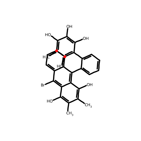 Cc1c(O)c(O)c(O)c(-c2ccccc2-c2c3ccccc3c(Br)c3c(O)c(C)c(C)c(O)c23)c1O